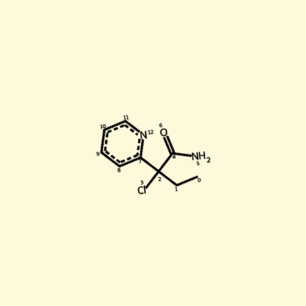 CCC(Cl)(C(N)=O)c1ccccn1